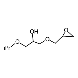 CC(C)O[CH]C(O)COCC1CO1